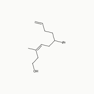 C=CCCC(CC=C(C)CCO)C(C)C